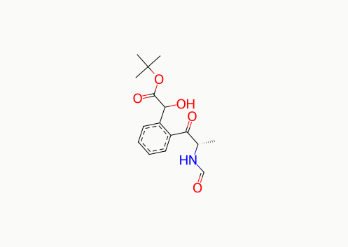 C[C@H](NC=O)C(=O)c1ccccc1C(O)C(=O)OC(C)(C)C